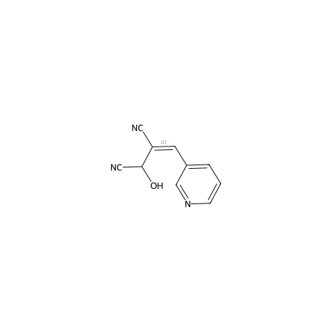 N#C/C(=C/c1cccnc1)C(O)C#N